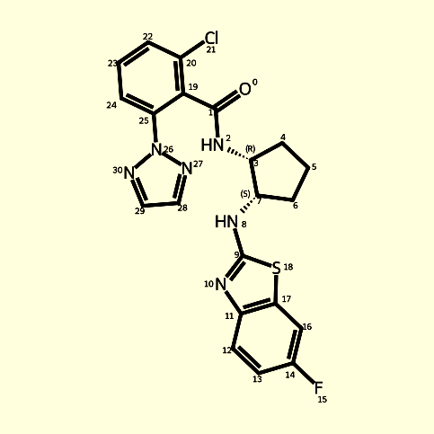 O=C(N[C@@H]1CCC[C@@H]1Nc1nc2ccc(F)cc2s1)c1c(Cl)cccc1-n1nccn1